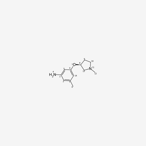 Cc1cc(N)cc(O[C@H]2CCN(C)C2)c1